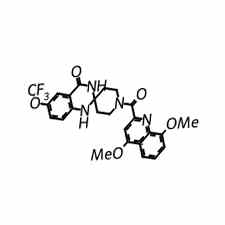 COc1cc(C(=O)N2CCC3(CC2)NC(=O)c2cc(OC(F)(F)F)ccc2N3)nc2c(OC)cccc12